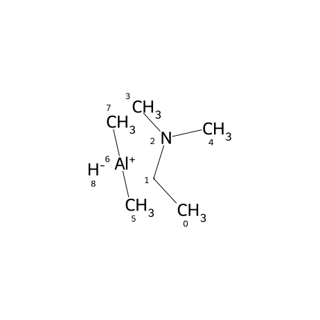 CCN(C)C.[CH3][Al+][CH3].[H-]